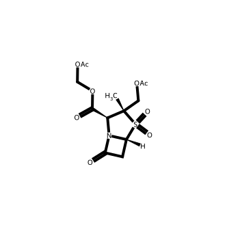 CC(=O)OCOC(=O)[C@@H]1N2C(=O)C[C@H]2S(=O)(=O)[C@@]1(C)COC(C)=O